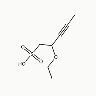 CC#CC(CS(=O)(=O)O)OCC